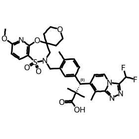 COc1ccc2c(n1)OC1(CCOCC1)CN(Cc1cc([C@H](c3ccn4c(C(F)F)nnc4c3C)C(C)(C)C(=O)O)ccc1C)S2(=O)=O